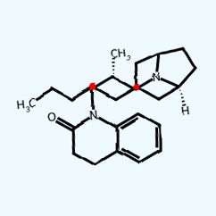 CCCCCC1CC2CC[C@@H](C1)N2C[C@@H](C)CN1C(=O)CCc2ccccc21